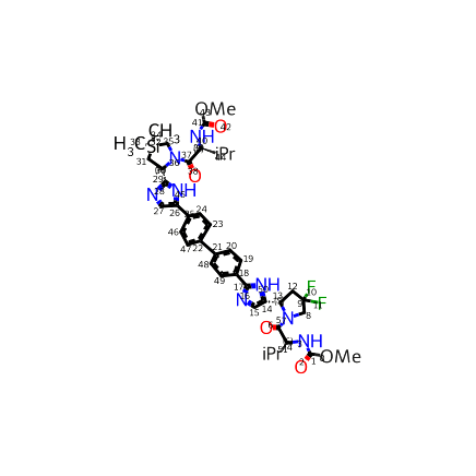 COC(=O)N[C@H](C(=O)N1CC(F)(F)C[C@H]1c1cnc(-c2ccc(-c3ccc(-c4cnc([C@@H]5C[Si](C)(C)CN5C(=O)[C@@H](NC(=O)OC)C(C)C)[nH]4)cc3)cc2)[nH]1)C(C)C